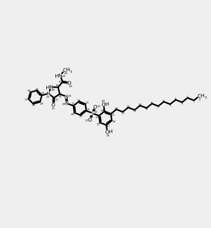 CCCCCCCCCCCCCCCc1cc(O)cc(S(=O)(=O)c2ccc(N=NC3C(=O)N(c4ccccc4)NC3C(=O)NC)cc2)c1O